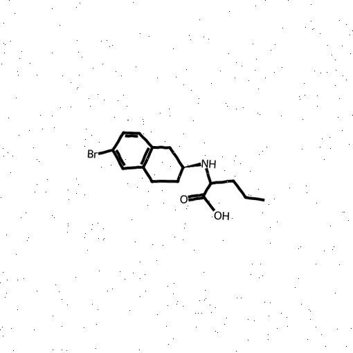 CCCC(N[C@H]1CCc2cc(Br)ccc2C1)C(=O)O